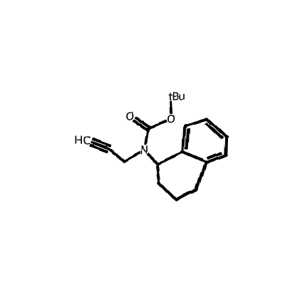 C#CCN(C(=O)OC(C)(C)C)C1CCCc2ccccc21